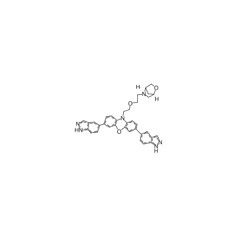 c1cc2c(cc1-c1ccc3[nH]ncc3c1)Oc1cc(-c3ccc4[nH]ncc4c3)ccc1N2CCOCCN1C[C@H]2C[C@@H]1CO2